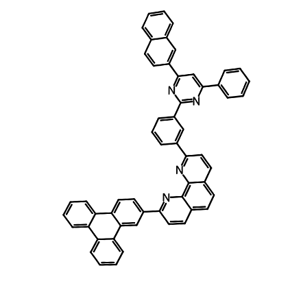 c1ccc(-c2cc(-c3ccc4ccccc4c3)nc(-c3cccc(-c4ccc5ccc6ccc(-c7ccc8c9ccccc9c9ccccc9c8c7)nc6c5n4)c3)n2)cc1